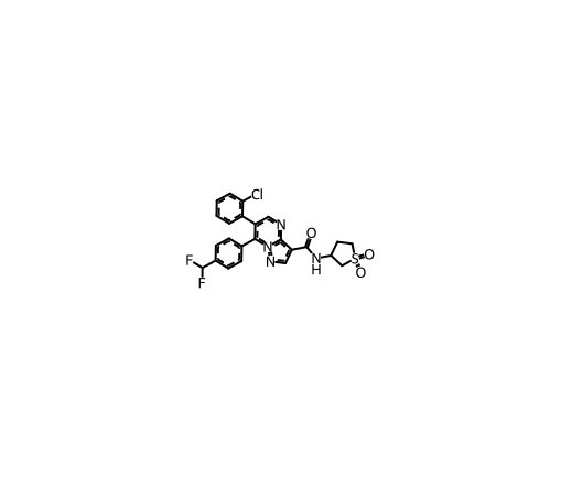 O=C(NC1CCS(=O)(=O)C1)c1cnn2c(-c3ccc(C(F)F)cc3)c(-c3ccccc3Cl)cnc12